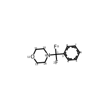 FC(F)(c1ccccc1)N1CCOCC1